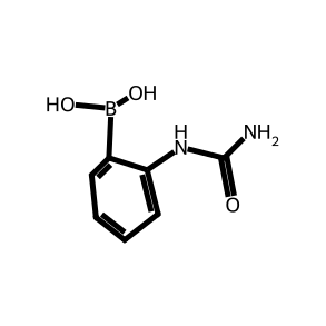 NC(=O)Nc1ccccc1B(O)O